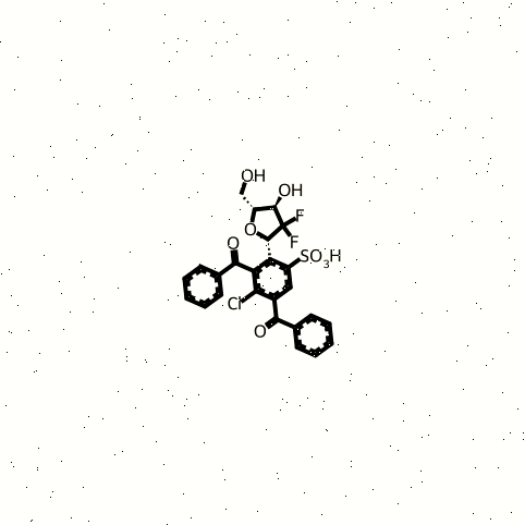 O=C(c1ccccc1)c1cc(S(=O)(=O)O)c([C@@H]2O[C@H](CO)[C@@H](O)C2(F)F)c(C(=O)c2ccccc2)c1Cl